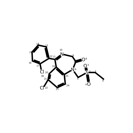 CCS(=O)(=O)CN1C(=O)CN=C(c2ccccc2Cl)c2cc(Cl)ccc21